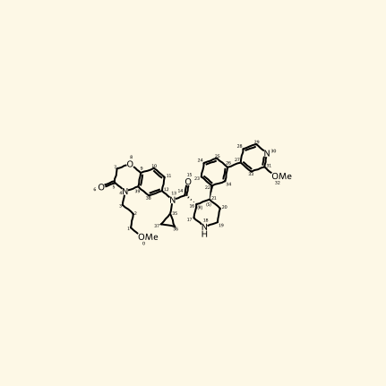 COCCCN1C(=O)COc2ccc(N(C(=O)[C@H]3CNCC[C@@H]3c3cccc(-c4ccnc(OC)c4)c3)C3CC3)cc21